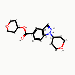 O=C(OC1CCOCC1)c1ccc2c(cnn2C2CCOCC2)c1